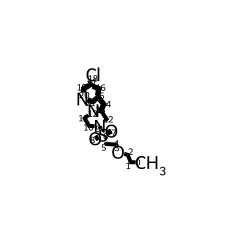 CCCOCCS(=O)(=O)N1CCn2c(cc3cc(Cl)cnc32)C1